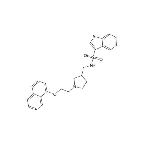 O=S(=O)(NCC1CCN(CCOc2cccc3ccccc23)C1)c1csc2ccccc12